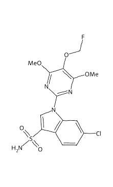 COc1nc(-n2cc(S(N)(=O)=O)c3ccc(Cl)cc32)nc(OC)c1OCF